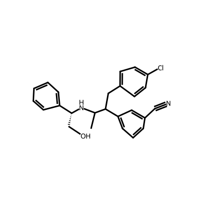 CC(N[C@H](CO)c1ccccc1)C(Cc1ccc(Cl)cc1)c1cccc(C#N)c1